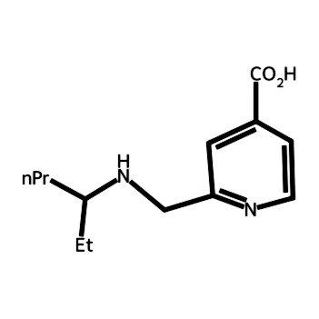 CCCC(CC)NCc1cc(C(=O)O)ccn1